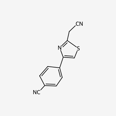 N#CCc1nc(-c2ccc(C#N)cc2)cs1